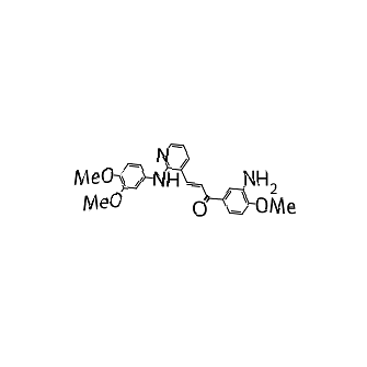 COc1ccc(C(=O)C=Cc2cccnc2Nc2ccc(OC)c(OC)c2)cc1N